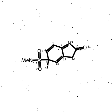 CNS(=O)(=O)C1(C)C=CC2=NC(=O)CC2=C1